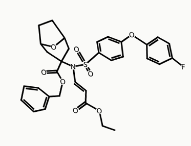 CCOC(=O)C=CN(C1(C(=O)OCc2ccccc2)CC2CCC(C1)O2)S(=O)(=O)c1ccc(Oc2ccc(F)cc2)cc1